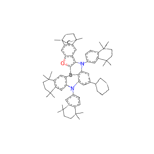 CC1(C)CCC(C)(C)c2cc(N3c4cc5c(cc4B4c6oc7cc8c(cc7c6N(c6ccc7c(c6)C(C)(C)CCC7(C)C)c6cc(C7CCCCC7)cc3c64)C3(C)CCC8(C)CC3)C(C)(C)CCC5(C)C)ccc21